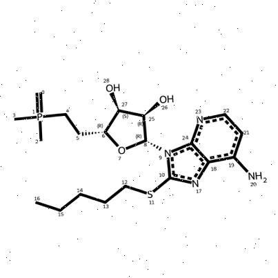 C=P(C)(C)CC[C@H]1O[C@@H](n2c(SCCCCC)nc3c(N)ccnc32)[C@H](O)[C@@H]1O